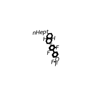 CCCCCCCC1CC[C@@H]2C[C@H](c3cc(F)c(-c4ccc(OC(F)F)cc4)c(F)c3)CC[C@@H]2C1